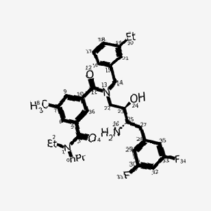 CCCN(CC)C(=O)c1cc(C)cc(C(=O)N(Cc2cccc(CC)c2)C[C@@H](O)[C@@H](N)Cc2cc(F)cc(F)c2)c1